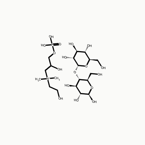 C[N+](C)(CCO)CC(O)COP(=O)(O)O.OC[C@H]1O[C@H](O[C@H]2[C@H](O)[C@@H](O)[C@H](O)O[C@@H]2CO)[C@H](O)[C@@H](O)[C@@H]1O